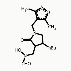 CCCCC1CN(Cc2c(C)noc2C)C(=O)C1CN(O)C=O